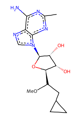 COC(CC1CC1)[C@H]1O[C@@H](n2cnc3c(N)nc(C)nc32)[C@H](O)[C@@H]1O